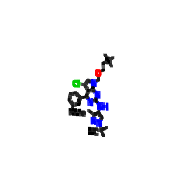 CNc1cccc(-c2nc(Nc3cn(C(C)(C)C#N)nc3C)nc3c2c(Cl)cn3COCC[Si](C)(C)C)c1